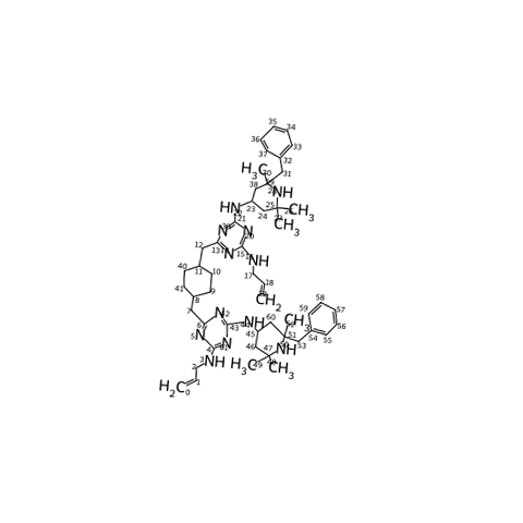 C=CCNc1nc(CC2CCC(Cc3nc(NCC=C)nc(NC4CC(C)(C)NC(C)(Cc5ccccc5)C4)n3)CC2)nc(NC2CC(C)(C)NC(C)(Cc3ccccc3)C2)n1